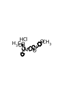 COC(=O)N1C[C@H](CN2CCC3(CC2)CCN(Cc2ccc(OC)cc2)C3=O)[C@@H](c2ccccc2)C1.Cl